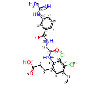 CCc1cc(CCC(=O)O)c(NC(=O)CNC(=O)c2cccc(NC(=N)N)c2)c(Cl)c1Cl